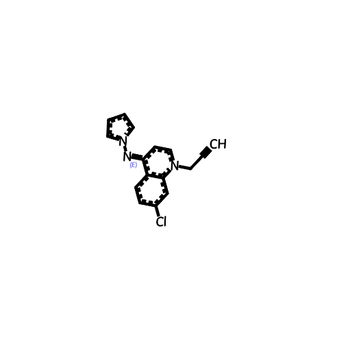 C#CCn1cc/c(=N\n2cccc2)c2ccc(Cl)cc21